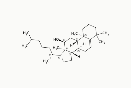 CC(C)CCC[C@@H](C)[C@H]1CC[C@H]2[C@@H]3CC=C4C(C)(C)CCC[C@]4(C)[C@H]3C[C@H](O)[C@]12C